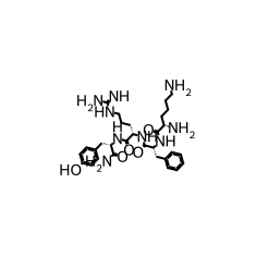 N=C(N)NCCC[C@H](NC(=O)[C@@H](Cc1ccccc1)NC(=O)[C@@H](N)CCCCN)C(=O)N[C@@H](Cc1ccc(O)cc1)C(N)=O